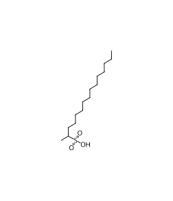 CCCCCCCCCCCCCC(C)S(=O)(=O)O